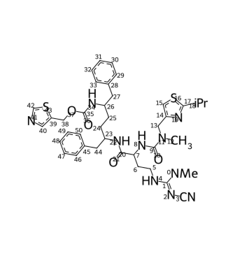 CN/C(=N\C#N)NCCC(NC(=O)N(C)Cc1csc(C(C)C)n1)C(=O)NC(CCC(Cc1ccccc1)NC(=O)OCc1cncs1)Cc1ccccc1